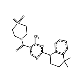 C=S1(=O)CCN(C(=O)c2cnc(N3CCC(C)(C)c4ccccc43)nc2C(F)(F)F)CC1